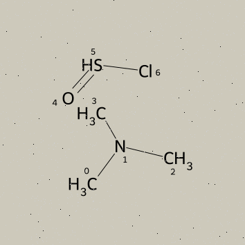 CN(C)C.O=[SH]Cl